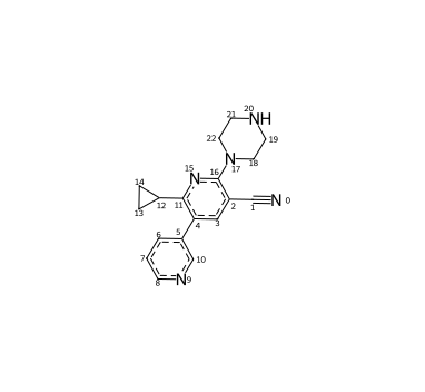 N#Cc1cc(-c2cccnc2)c(C2CC2)nc1N1CCNCC1